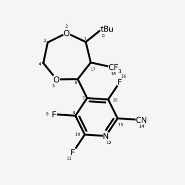 CC(C)(C)C1OCCOC(c2c(F)c(F)nc(C#N)c2F)C1C(F)(F)F